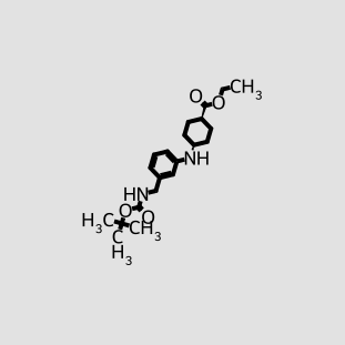 CCOC(=O)[C@H]1CC[C@H](Nc2cccc(CNC(=O)OC(C)(C)C)c2)CC1